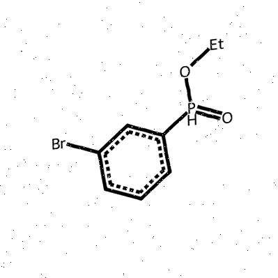 CCO[PH](=O)c1cccc(Br)c1